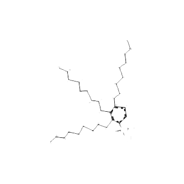 CCCCCCCCCc1ccc([PH](O)(O)O)c(CCCCCCCCC)c1CCCCCCCCC